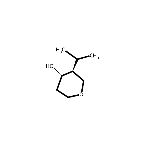 CC(C)[C@H]1COCC[C@@H]1O